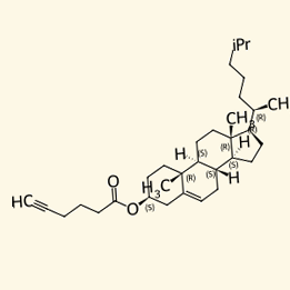 C#CCCCC(=O)O[C@H]1CC[C@@]2(C)C(=CC[C@H]3[C@@H]4CC[C@H]([C@H](C)CCCC(C)C)[C@@]4(C)CC[C@@H]32)C1